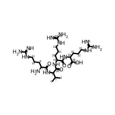 CC(C)C(NC(=O)C(N)CCCNC(=N)N)C(=O)NC(CCCNC(=N)N)C(=O)NC(CCCNC(=N)N)C(=O)O